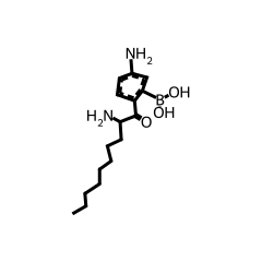 CCCCCCCCC(N)C(=O)c1ccc(N)cc1B(O)O